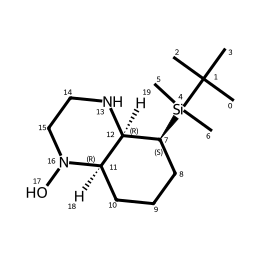 CC(C)(C)[Si](C)(C)[C@H]1CCC[C@@H]2[C@H]1NCCN2O